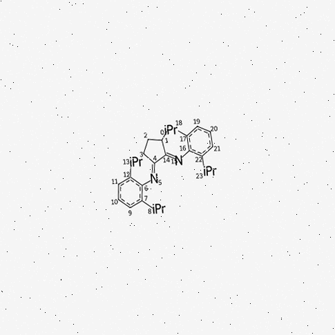 CC1CCC(=Nc2c(C(C)C)cccc2C(C)C)C1=Nc1c(C(C)C)cccc1C(C)C